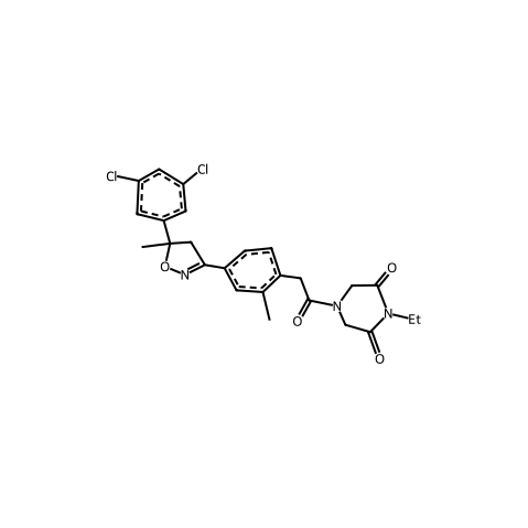 CCN1C(=O)CN(C(=O)Cc2ccc(C3=NOC(C)(c4cc(Cl)cc(Cl)c4)C3)cc2C)CC1=O